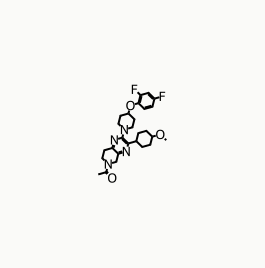 COC1CCC(c2nc3c(nc2N2CCC(Oc4ccc(F)cc4F)CC2)CCN(C(C)=O)C3)CC1